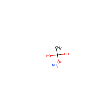 N.[CH2]C(O)(O)O